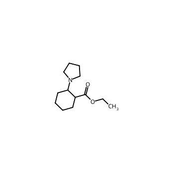 CCOC(=O)C1CCCCC1N1CCCC1